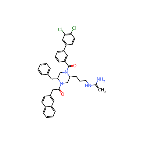 C=C(N)NCCC[C@H]1CN(C(=O)Cc2ccc3ccccc3c2)[C@H](Cc2ccccc2)CN1C(=O)c1cccc(-c2ccc(Cl)c(Cl)c2)c1